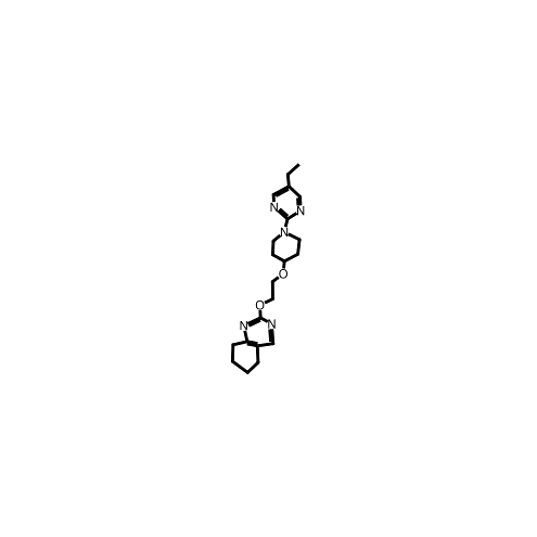 CCc1cnc(N2CCC(OCCOc3ncc4c(n3)CCCC4)CC2)nc1